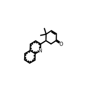 CC1(C)C=CC(=O)CC1c1ccc2ccccc2n1